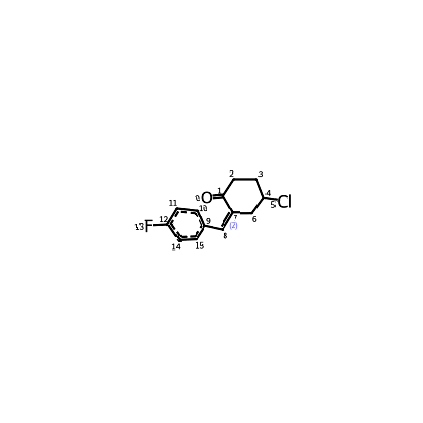 O=C1CCC(Cl)C/C1=C/c1ccc(F)cc1